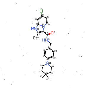 CCC1=C(C(=O)NCc2ccc(N3CCC(C)(C)CC3)cc2)N2C=CC(Cl)=CC2N1